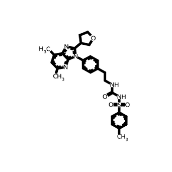 Cc1ccc(S(=O)(=O)NC(=O)NCCc2ccc(-n3c(C4CCOC4)nc4c(C)cc(C)nc43)cc2)cc1